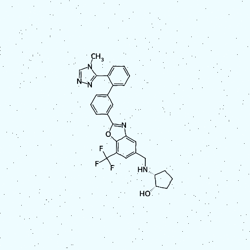 Cn1cnnc1-c1ccccc1-c1cccc(-c2nc3cc(CN[C@@H]4CCC[C@@H]4O)cc(C(F)(F)F)c3o2)c1